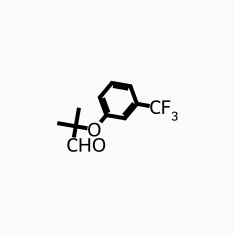 CC(C)(C=O)Oc1cccc(C(F)(F)F)c1